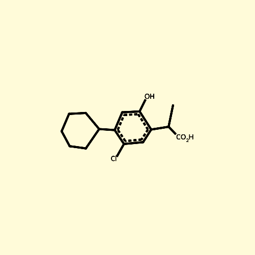 CC(C(=O)O)c1cc(Cl)c(C2CCCCC2)cc1O